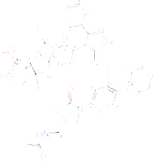 CC(=O)NC[C@H]1CN(c2ccc(N3CCOCC3)c(F)c2)C(=O)O1.Cc1onc(-c2ccccc2)c1C(=O)N[C@@H]1C(=O)N2[C@@H]1SC(C)(C)[C@@H]2C(=O)O